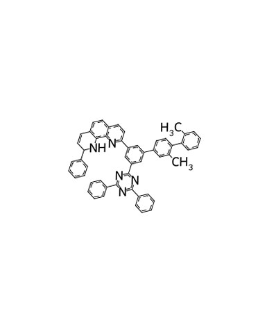 Cc1ccccc1-c1ccc(-c2cc(-c3ccc4ccc5c(c4n3)NC(c3ccccc3)C=C5)cc(-c3nc(-c4ccccc4)nc(-c4ccccc4)n3)c2)cc1C